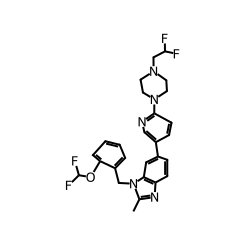 Cc1nc2ccc(-c3ccc(N4CCN(CC(F)F)CC4)nc3)cc2n1Cc1ccccc1OC(F)F